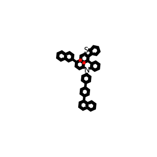 c1ccc(N(c2ccc(-c3ccc(-c4cccc5ccccc45)cc3)cc2)c2ccc(-c3ccc4ccccc4c3)cc2)c(-c2cccc3sc4ccccc4c23)c1